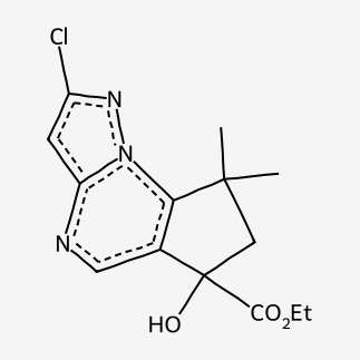 CCOC(=O)C1(O)CC(C)(C)c2c1cnc1cc(Cl)nn21